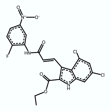 CCOC(=O)c1[nH]c2cc(Cl)cc(Cl)c2c1C=CC(=O)Nc1cc([N+](=O)[O-])ccc1F